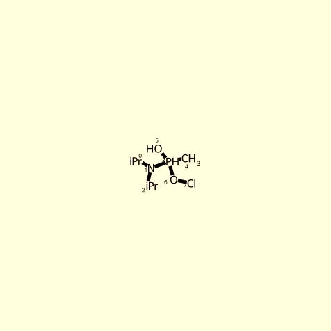 CC(C)N(C(C)C)[PH](C)(O)OCl